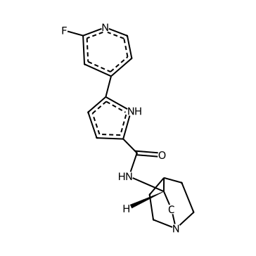 O=C(N[C@H]1CN2CCC1CC2)c1ccc(-c2ccnc(F)c2)[nH]1